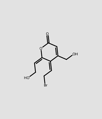 O=c1cc(CO)c(=C/CBr)/c(=C\CO)o1